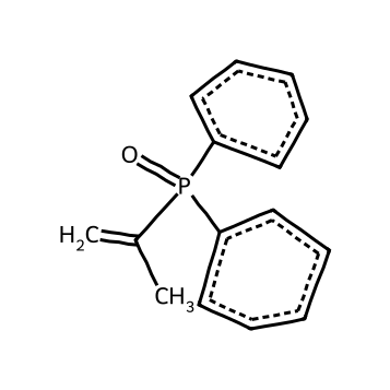 C=C(C)P(=O)(c1ccccc1)c1ccccc1